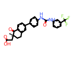 C[C@]1(CC(=O)O)CCc2cc(-c3ccc(NC(=O)Nc4cccc(C(F)(F)F)c4)cc3)ccc2C1=O